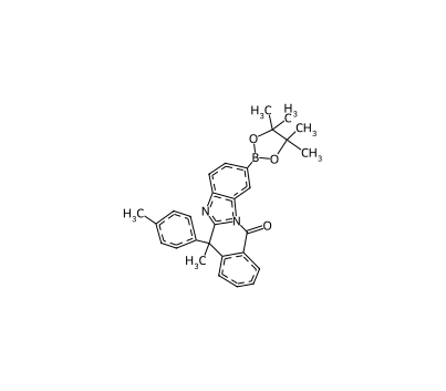 Cc1ccc(C2(C)c3ccccc3C(=O)n3c2nc2ccc(B4OC(C)(C)C(C)(C)O4)cc23)cc1